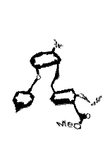 COC(=O)c1ccc(CCc2cc(Br)ccc2OCc2ccccc2)cc1OC